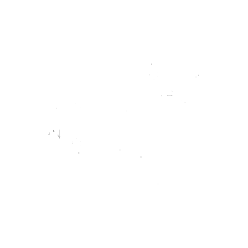 CCc1cnoc1-c1cc(F)cc(C(=O)OC)c1